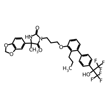 CCCc1c(OCCCN2C(=O)NC(C)(c3ccc4c(c3)OCO4)C2=O)cccc1-c1ccc(C(O)(C(F)(F)F)C(F)(F)F)cc1